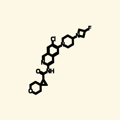 O=C(Nc1cc2cc(N3CCC(N4CC(F)C4)CC3)c(Cl)cc2cn1)C1CC12CCOCC2